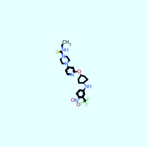 CCNC(=S)N1CCN(c2ccnc(O[C@H]3CC[C@H](Nc4ccc([N+](=O)[O-])c(C(F)(F)F)c4)CC3)c2)CC1